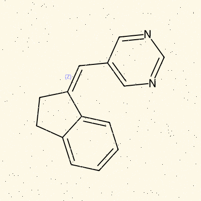 C(=C1\CCc2ccccc21)/c1cncnc1